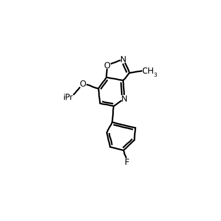 Cc1noc2c(OC(C)C)cc(-c3ccc(F)cc3)nc12